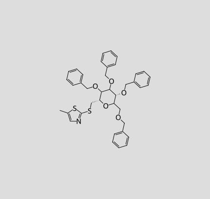 Cc1cnc(SC[C@H]2OC(COCc3ccccc3)[C@@H](OCc3ccccc3)C(OCc3ccccc3)C2OCc2ccccc2)s1